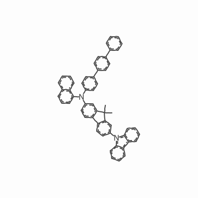 CC1(C)c2cc(N(c3ccc(-c4ccc(-c5ccccc5)cc4)cc3)c3cccc4ccccc34)ccc2-c2ccc(-n3c4ccccc4c4ccccc43)cc21